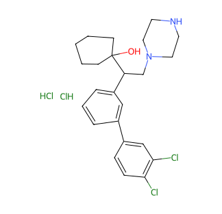 Cl.Cl.OC1(C(CN2CCNCC2)c2cccc(-c3ccc(Cl)c(Cl)c3)c2)CCCCC1